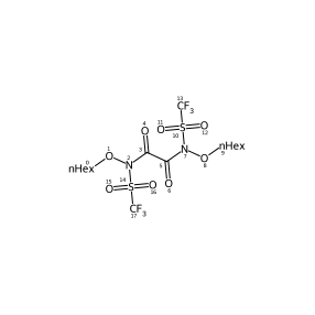 CCCCCCON(C(=O)C(=O)N(OCCCCCC)S(=O)(=O)C(F)(F)F)S(=O)(=O)C(F)(F)F